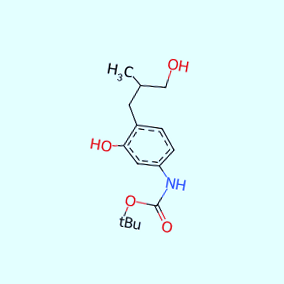 CC(CO)Cc1ccc(NC(=O)OC(C)(C)C)cc1O